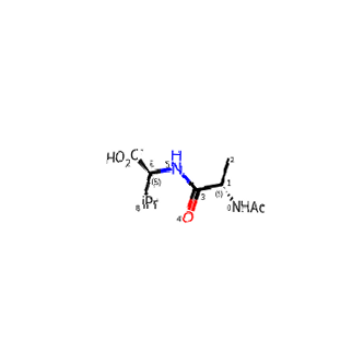 CC(=O)N[C@@H](C)C(=O)N[C@H](C(=O)O)C(C)C